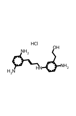 Cl.Nc1ccc(N)c(/C=C/CNc2ccc(N)c(CCO)c2)c1